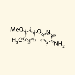 COc1cc(Oc2ccc(N)cn2)ccc1C